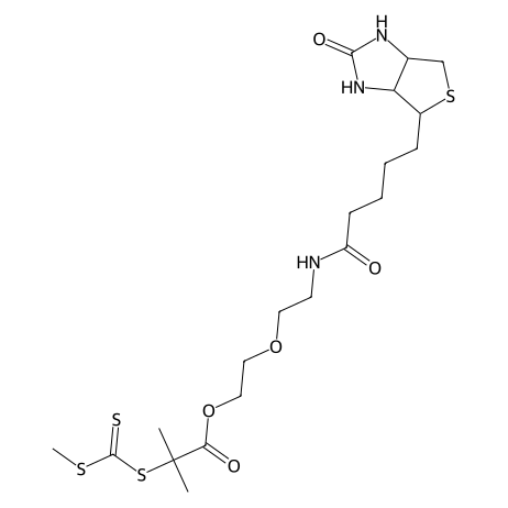 CSC(=S)SC(C)(C)C(=O)OCCOCCNC(=O)CCCCC1SCC2NC(=O)NC21